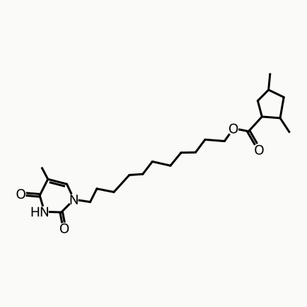 Cc1cn(CCCCCCCCCCCOC(=O)C2CC(C)CC2C)c(=O)[nH]c1=O